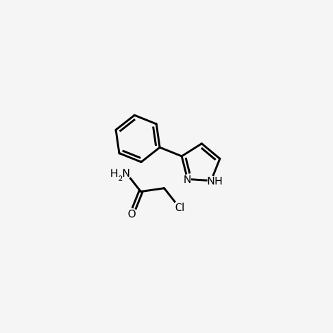 NC(=O)CCl.c1ccc(-c2cc[nH]n2)cc1